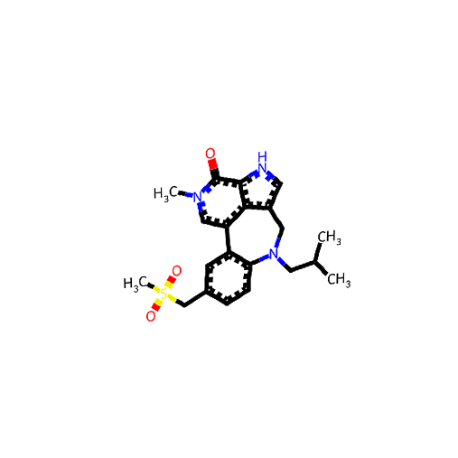 CC(C)CN1Cc2c[nH]c3c(=O)n(C)cc(c23)-c2cc(CS(C)(=O)=O)ccc21